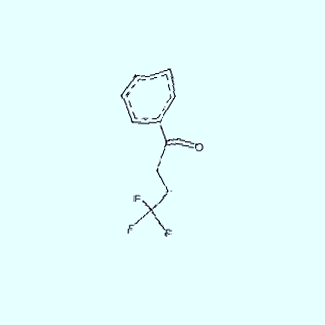 O=C(C[CH]C(F)(F)F)c1ccccc1